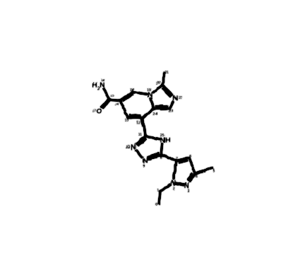 CCn1nc(C)cc1-c1nnc(-c2cc(C(N)=O)cn3c(C)ncc23)[nH]1